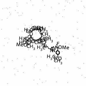 CC[C@H]1OC(=O)[C@H](C)[C@@H](O[C@H]2C[C@@](C)(OC)[C@@H](O)[C@H](C)O2)[C@H](C)[C@@H](O[C@H]2C[C@@H](N(C)CCc3cn([C@H](CF)[C@H](OC)c4ccc(C(=O)N(C)C)cc4)nn3)C[C@@H](C)O2)[C@@](O)(I)C[C@@H](C)CN(C)[C@H](C)[C@@H](O)[C@]1(C)O